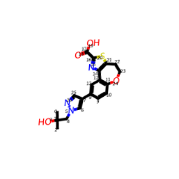 CC(C)(O)Cn1cc(-c2ccc3c(c2)-c2nc(C(=O)O)sc2CCO3)cn1